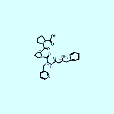 N[C@H](CC(=O)N[C@@H](Cc1cccnc1)C(=O)N1CCC[C@H]1C(=O)N1CCC[C@H]1C(=O)O)Cc1ccccc1